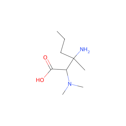 CCCC(C)(N)C(C(=O)O)N(C)C